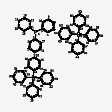 c1ccc(P(c2ccccc2)c2ccccc2)cc1.c1ccc([B-](c2ccccc2)(c2ccccc2)c2ccccc2)cc1.c1ccc([B-](c2ccccc2)(c2ccccc2)c2ccccc2)cc1